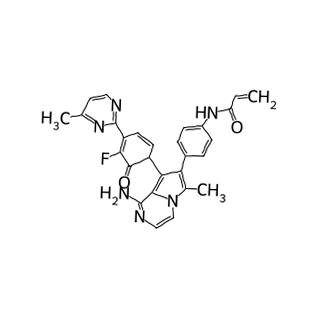 C=CC(=O)Nc1ccc(-c2c(C3C=CC(c4nccc(C)n4)=C(F)C3=O)c3c(N)nccn3c2C)cc1